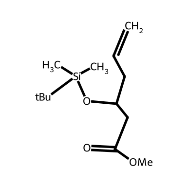 C=CCC(CC(=O)OC)O[Si](C)(C)C(C)(C)C